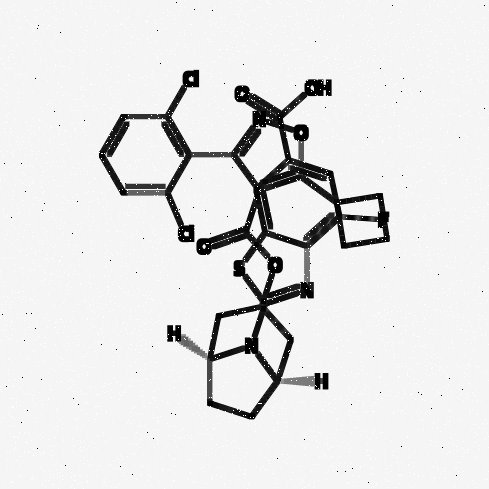 O=C(O)c1cc(F)c2nc(N3[C@@H]4CC[C@H]3CC(OC(=O)c3c(-c5c(Cl)cccc5Cl)noc3C3CCC3)C4)sc2c1